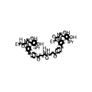 CCNC(=O)c1nnc(-c2cc(C(C)C)c(O)cc2O)n1-c1ccc(CN2CCN(C(=O)CCNC(=O)[C@H](N)CCC(=O)N3CCN(Cc4ccc(-n5c(C(=O)NCC)nnc5-c5cc(C(C)C)c(O)cc5O)cc4)CC3)CC2)cc1